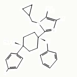 Cc1c(Br)nc([C@]2(Oc3ccccc3)CC[C@](C(=O)O)(c3ccc(F)cc3)CC2)n1CC1CC1